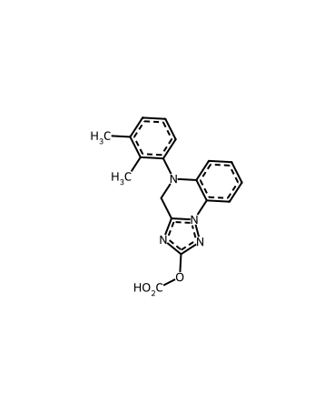 Cc1cccc(N2Cc3nc(OC(=O)O)nn3-c3ccccc32)c1C